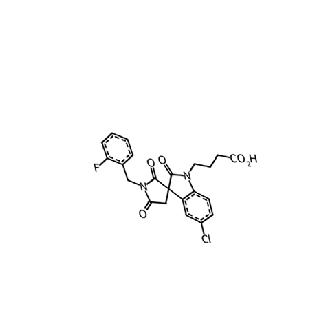 O=C(O)CCCN1C(=O)C2(CC(=O)N(Cc3ccccc3F)C2=O)c2cc(Cl)ccc21